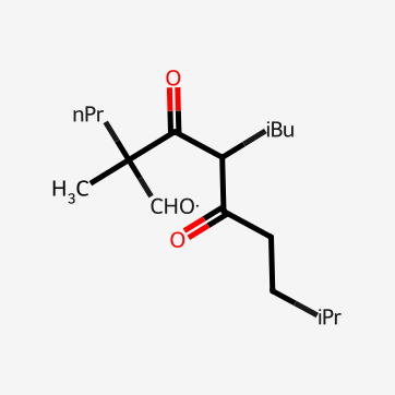 CCCC(C)([C]=O)C(=O)C(C(=O)CCC(C)C)C(C)CC